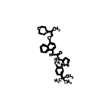 Cc1ccc(C(C)(C)C)cc1-n1nccc1NC(=O)Nc1ccc(OCC(C)N2CCOCC2)c2ccccc12